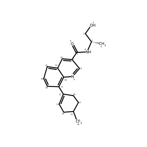 C[C@@H](CO)NC(=O)c1cnc2c(C3=CCC(C(F)(F)F)CC3)cccc2c1